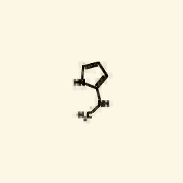 [CH2]Nc1ccc[nH]1